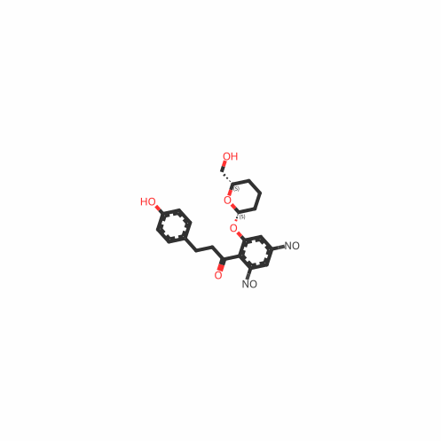 O=Nc1cc(N=O)c(C(=O)CCc2ccc(O)cc2)c(O[C@H]2CCC[C@@H](CO)O2)c1